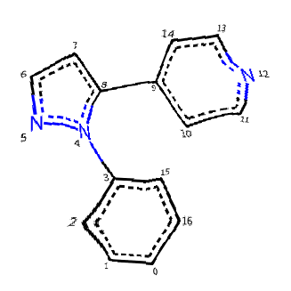 c1ccc(-n2nccc2-c2ccncc2)cc1